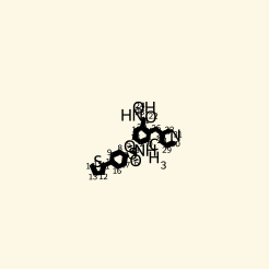 Cc1c(NS(=O)(=O)c2ccc(-c3cccs3)cc2)ccc(C(=O)NO)c1Cc1cccnc1